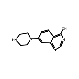 Oc1ncnc2cc(N3CCNCC3)ccc12